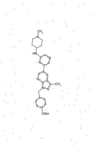 COc1ccc(Cn2nc(C)c3cc(-c4cncc(NC5CCN(C)CC5)n4)cnc32)cc1